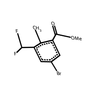 COC(=O)c1cc(Br)cc(C(F)F)c1C